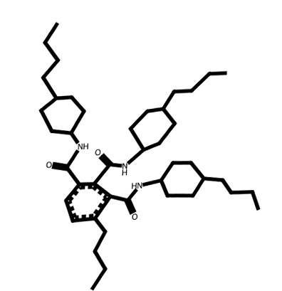 CCCCc1ccc(C(=O)NC2CCC(CCCC)CC2)c(C(=O)NC2CCC(CCCC)CC2)c1C(=O)NC1CCC(CCCC)CC1